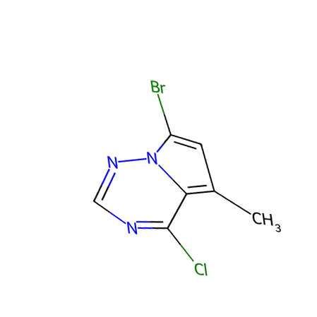 Cc1cc(Br)n2ncnc(Cl)c12